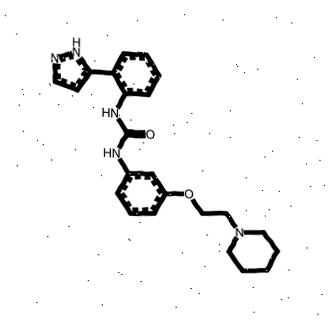 O=C(Nc1cccc(OCCN2CCCCC2)c1)Nc1ccccc1-c1ccn[nH]1